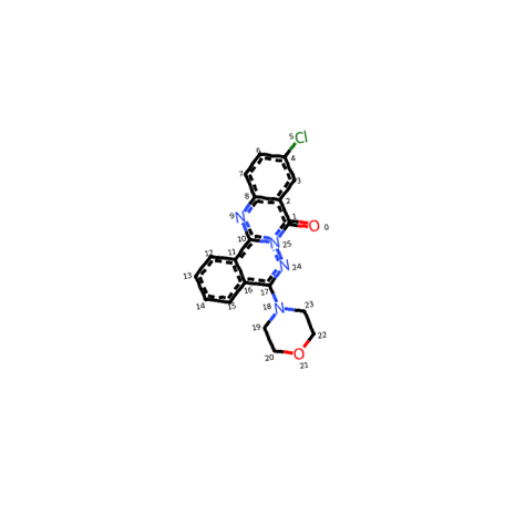 O=c1c2cc(Cl)ccc2nc2c3ccccc3c(N3CCOCC3)nn12